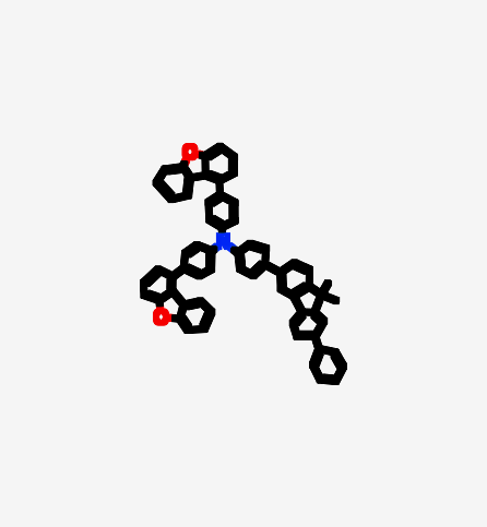 CC1(C)c2ccc(-c3ccc(N(c4ccc(-c5cccc6oc7ccccc7c56)cc4)c4ccc(-c5cccc6oc7ccccc7c56)cc4)cc3)cc2-c2ccc(-c3ccccc3)cc21